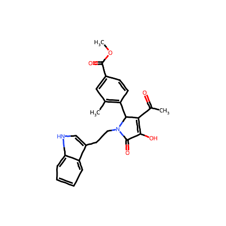 COC(=O)c1ccc(C2C(C(C)=O)=C(O)C(=O)N2CCc2c[nH]c3ccccc23)c(C)c1